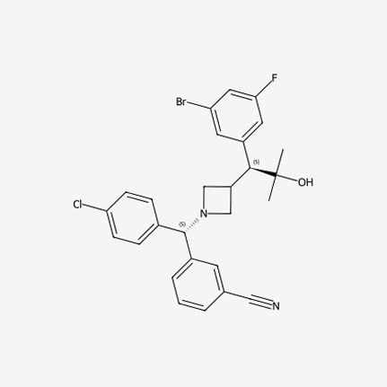 CC(C)(O)[C@H](c1cc(F)cc(Br)c1)C1CN([C@@H](c2ccc(Cl)cc2)c2cccc(C#N)c2)C1